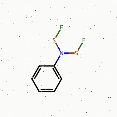 FSN(SF)c1ccccc1